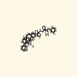 C[C@]12CC[C@H](OC(=O)CCC(=O)NCc3ccccc3)CC1=CC[C@@H]1[C@@H]2CC[C@]2(C)C(c3cccnc3)=CC[C@@H]12